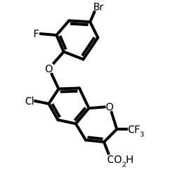 O=C(O)C1=Cc2cc(Cl)c(Oc3ccc(Br)cc3F)cc2OC1C(F)(F)F